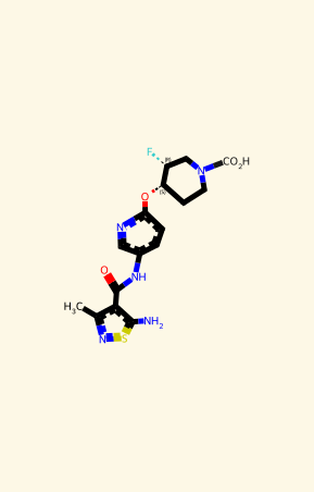 Cc1nsc(N)c1C(=O)Nc1ccc(O[C@H]2CCN(C(=O)O)C[C@H]2F)nc1